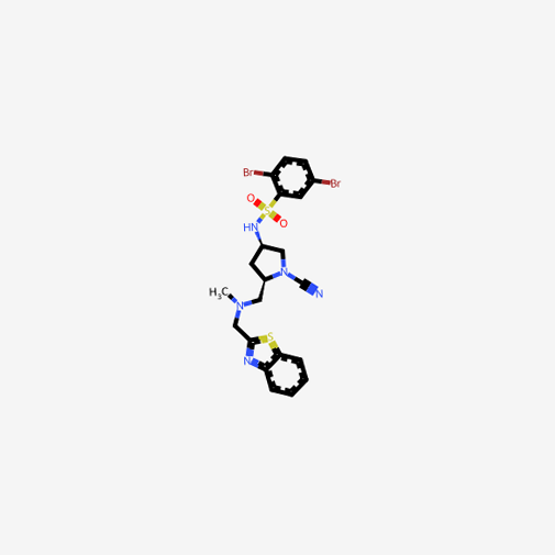 CN(Cc1nc2ccccc2s1)C[C@H]1C[C@@H](NS(=O)(=O)c2cc(Br)ccc2Br)CN1C#N